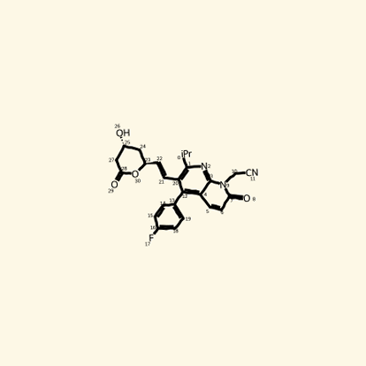 CC(C)c1nc2c(ccc(=O)n2CC#N)c(-c2ccc(F)cc2)c1C=C[C@@H]1C[C@@H](O)CC(=O)O1